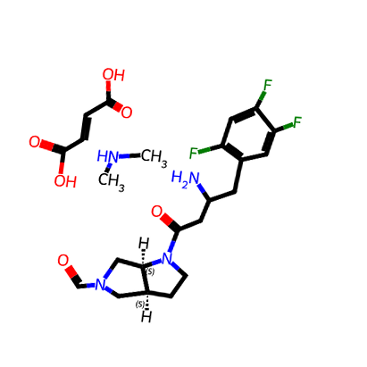 CNC.NC(CC(=O)N1CC[C@H]2CN(C=O)C[C@H]21)Cc1cc(F)c(F)cc1F.O=C(O)C=CC(=O)O